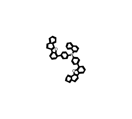 c1ccc2c(N(c3ccc(-c4cccc5c4oc4c6ccccc6ccc54)cc3)c3ccc(-c4cccc5c4oc4c6ccccc6ccc54)cc3)cccc2c1